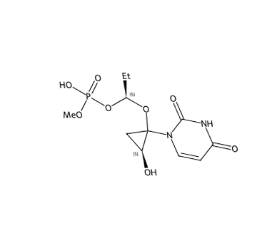 CC[C@@H](OC1(n2ccc(=O)[nH]c2=O)C[C@@H]1O)OP(=O)(O)OC